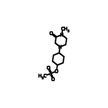 CN1CCN(C2CCC(OS(C)(=O)=O)CC2)CC1=O